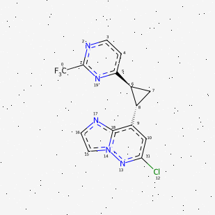 FC(F)(F)c1nccc([C@H]2C[C@@H]2c2cc(Cl)nn3ccnc23)n1